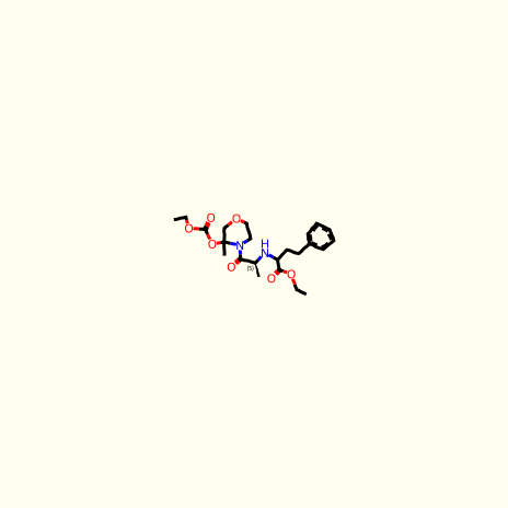 CCOC(=O)OC1(C)COCCN1C(=O)[C@H](C)NC(CCc1ccccc1)C(=O)OCC